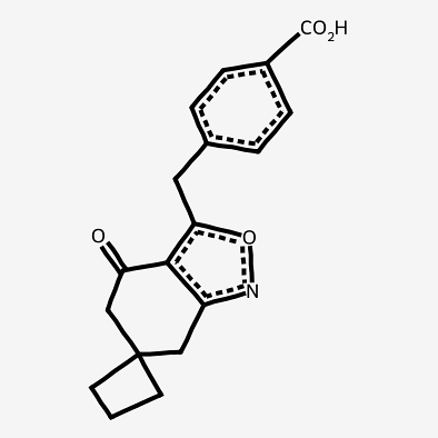 O=C(O)c1ccc(Cc2onc3c2C(=O)CC2(CCC2)C3)cc1